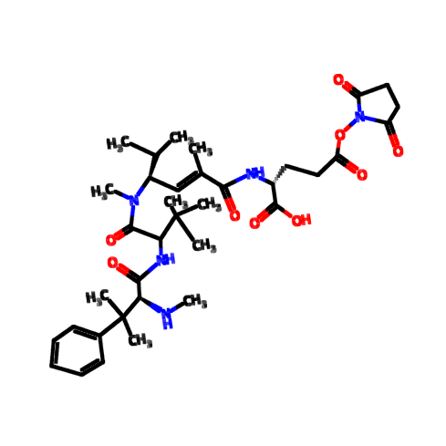 CN[C@H](C(=O)NC(C(=O)N(C)[C@H](/C=C(\C)C(=O)N[C@H](CCC(=O)ON1C(=O)CCC1=O)C(=O)O)C(C)C)C(C)(C)C)C(C)(C)c1ccccc1